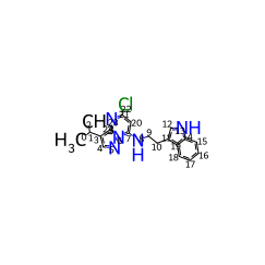 CC(C)c1cnn2c(NCCc3c[nH]c4ccccc34)cc(Cl)nc12